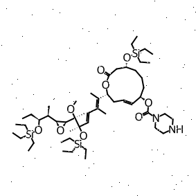 CC[C@H](O[Si](CC)(CC)CC)[C@@H](C)[C@@H]1O[C@@H]1[C@@](C)(OC)[C@@](C)(/C=C/C(C)=C(\C)[C@H]1C/C=C/[C@H](OC(=O)N2CCNCC2)CCC[C@@H](O[Si](CC)(CC)CC)CC(=O)O1)O[Si](CC)(CC)CC